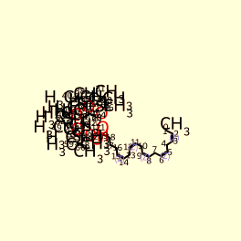 CC/C=C\C/C=C\C/C=C\C/C=C\C/C=C\CCCC(=O)OC[C@@H](O[Si](C)(C)C(C)(C)C)[C@@H](O[Si](C)(C)C(C)(C)C)[C@H](O[Si](C)(C)C(C)(C)C)[C@@H](CO)O[Si](C)(C)C(C)(C)C